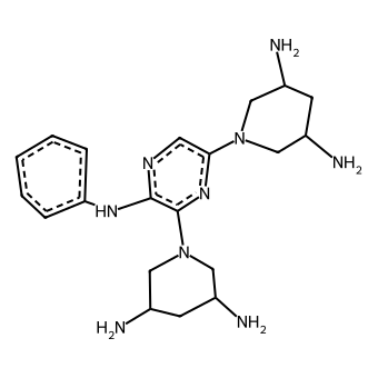 NC1CC(N)CN(c2cnc(Nc3ccccc3)c(N3CC(N)CC(N)C3)n2)C1